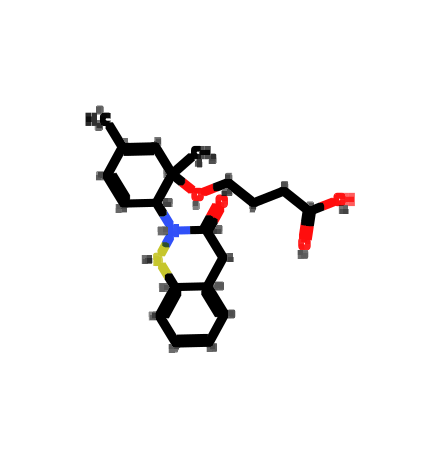 CC1=CC(C)(OCCCC(=O)O)C(N2Sc3ccccc3CC2=O)C=C1